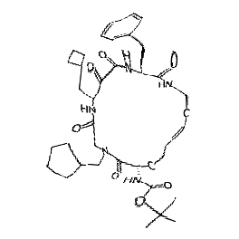 CC(C)(C)OC(=O)N[C@H]1CCC=CCCNC(=O)[C@H](Cc2ccccc2)NC(=O)C(=O)C(CC2CCC2)NC(=O)CN(CC2CCCC2)C1=O